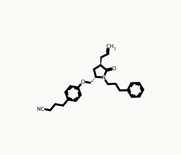 C=CC[C@@H]1C[C@@H](COc2ccc(CCCC#N)cc2)N(CCCc2ccccc2)C1=O